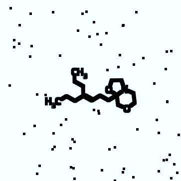 CCCC(=CCCC12COCCN1CCO2)CCC